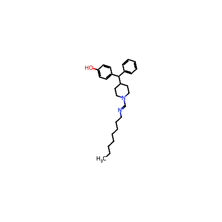 CCCCCCCC/N=C/N1CCC(C(c2ccccc2)c2ccc(O)cc2)CC1